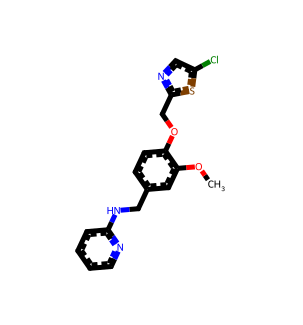 COc1cc(CNc2ccccn2)ccc1OCc1ncc(Cl)s1